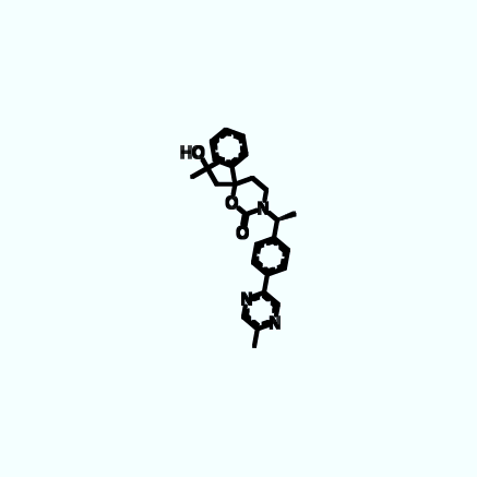 Cc1cnc(-c2ccc([C@H](C)N3CCC(CC(C)(C)O)(c4ccccc4)OC3=O)cc2)cn1